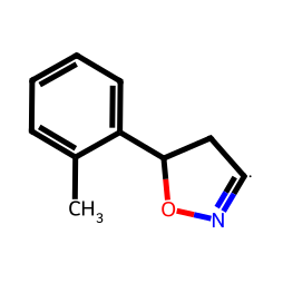 Cc1ccccc1C1C[C]=NO1